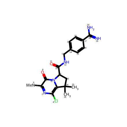 CNc1nc(Cl)c2n(c1=O)C(C(=O)NCc1ccc(C(=N)N)cc1)CC2(C)C